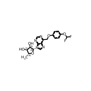 C[C@H]1O[C@@H](n2cnc3c(COc4ccc(OC(F)F)cc4)ncnc32)[C@H](O)[C@@H]1O